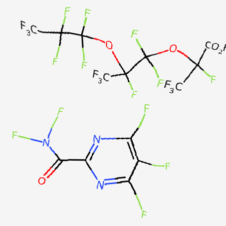 O=C(O)C(F)(OC(F)(F)C(F)(OC(F)(F)C(F)(F)C(F)(F)F)C(F)(F)F)C(F)(F)F.O=C(c1nc(F)c(F)c(F)n1)N(F)F